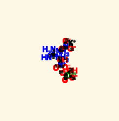 N.N=C(N)N.O=[N+]([O-])O.O=[N+]([O-])[O-].[K+].[O-][Cl+3]([O-])([O-])O